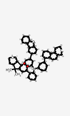 CC1(C)c2ccccc2-c2ccc(-c3ccccc3N(c3cccc(-c4ccc5oc6ccccc6c5c4)c3)c3cccc(-c4cccc5c4ccc4ccccc45)c3)cc21